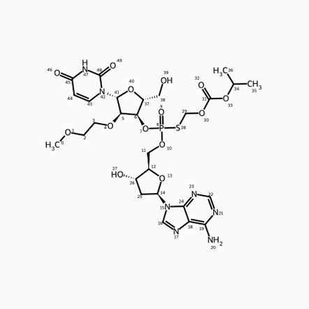 COCCO[C@@H]1[C@H](OP(=O)(OC[C@H]2O[C@@H](n3cnc4c(N)ncnc43)C[C@@H]2O)SCOC(=O)OC(C)C)[C@@H](CO)O[C@H]1n1ccc(=O)[nH]c1=O